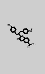 COc1ccc(CN(Cc2ccc(OC)cc2)c2nc3ccc(C(=O)O)cc3cc2C)cc1